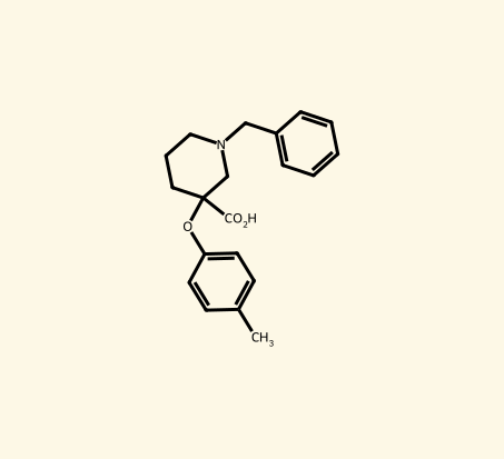 Cc1ccc(OC2(C(=O)O)CCCN(Cc3ccccc3)C2)cc1